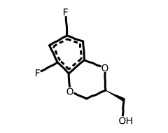 OC[C@H]1COc2c(F)cc(F)cc2O1